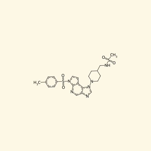 Cc1ccc(S(=O)(=O)n2ccc3c4c(cnc32)ncn4N2CCC(CNS(C)(=O)=O)CC2)cc1